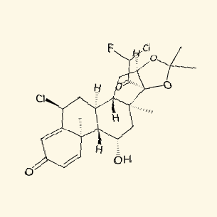 CC1(C)O[C@@H]2C[C@H]3[C@@H]4C[C@H](Cl)C5=CC(=O)C=C[C@]5(C)[C@H]4[C@@H](O)C[C@]3(C)[C@]2(C(=O)C(F)Cl)O1